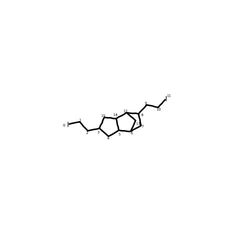 ICCC1CC2C3CC(CCI)C(C3)C2C1